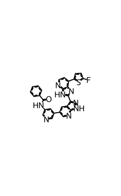 O=C(Nc1cncc(-c2cnc3[nH]nc(-c4nc5c(-c6ccc(F)s6)ccnc5[nH]4)c3c2)c1)c1ccccc1